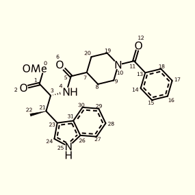 COC(=O)[C@H](NC(=O)C1CCN(C(=O)c2ccccc2)CC1)[C@H](C)c1c[nH]c2ccccc12